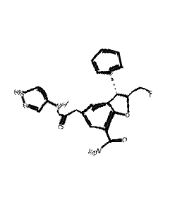 CNC(=O)c1cc(C(=O)Nc2cn[nH]c2)cc2c1O[C@H](CF)[C@H]2c1ccccc1